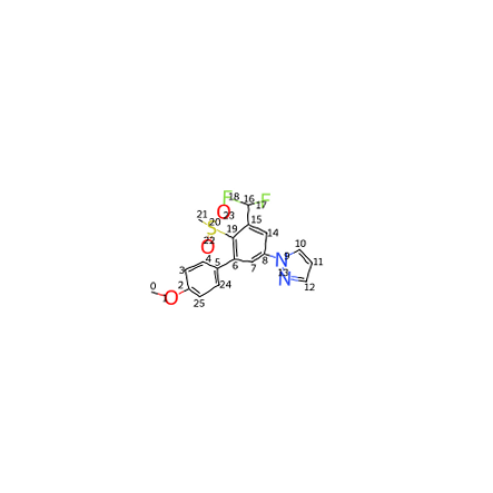 COc1ccc(-c2cc(-n3cccn3)cc(C(F)F)c2S(C)(=O)=O)cc1